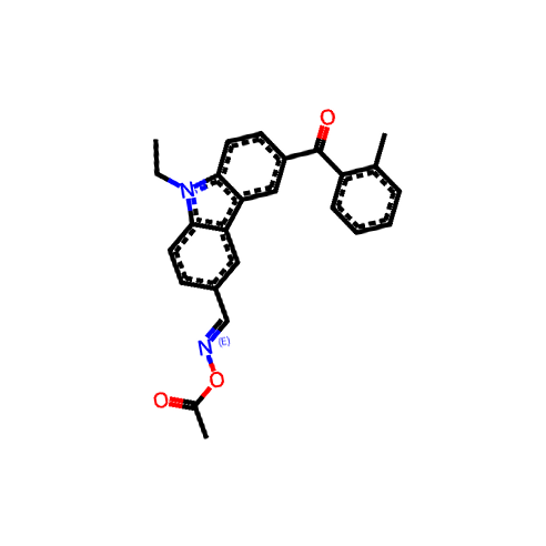 CCn1c2ccc(/C=N/OC(C)=O)cc2c2cc(C(=O)c3ccccc3C)ccc21